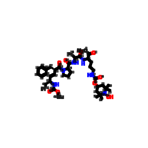 COC(=O)C(CCCNC(=O)OC1CC(C)(C)N(O)C(C)(C)C1)NC(=O)C(NC(=O)C1CCCN1C(=O)[C@H](/C=C/[C@H](CC(C)C)NC(=O)OC(C)(C)C)Cc1ccccc1)C(C)C